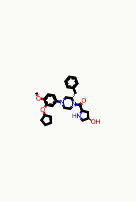 COc1ccc(N2CCN(C(=O)C3C[C@@H](O)CN3)[C@@H](Cc3ccccc3)C2)cc1OC1CCCC1